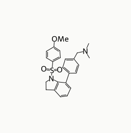 COc1ccc(S(=O)(=O)N2CCc3cccc(-c4ccc(CN(C)C)cc4)c32)cc1